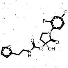 O=C(NCCc1cccs1)O[C@@]1(O)CCN(c2ccc(F)cc2F)C1=O